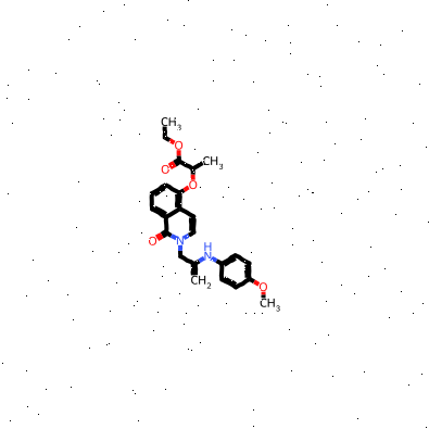 C=C(Cn1ccc2c(OC(C)C(=O)OCC)cccc2c1=O)Nc1ccc(OC)cc1